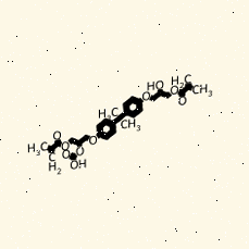 C=C(C)C(=O)OCC(O)COc1ccc(C(C)(C)c2ccc(OCC(COC(=O)C(=C)C)OC(=O)O)cc2)cc1